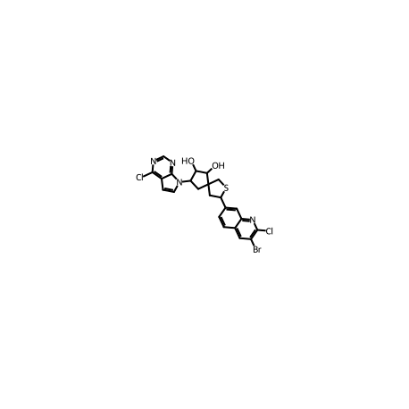 OC1C(n2ccc3c(Cl)ncnc32)CC2(CSC(c3ccc4cc(Br)c(Cl)nc4c3)C2)C1O